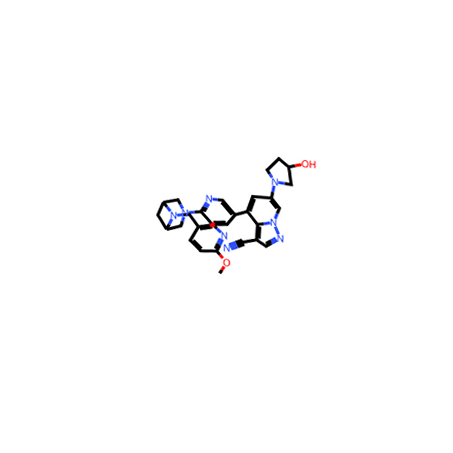 COc1ccc(CN2C3CC2CN(c2ccc(-c4cc(N5CCC(O)C5)cn5ncc(C#N)c45)cn2)C3)cn1